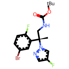 CC(C)(C)OC(=O)NC[C@@](C)(c1cc(Br)ccc1F)n1cc(F)cn1